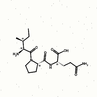 CC[C@H](C)[C@H](N)C(=O)N1CCC[C@H]1C(=O)N[C@@H](CCC(N)=O)C(=O)O